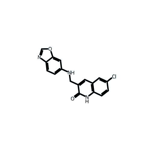 O=c1[nH]c2ccc(Cl)cc2cc1CNc1ccc2ncoc2c1